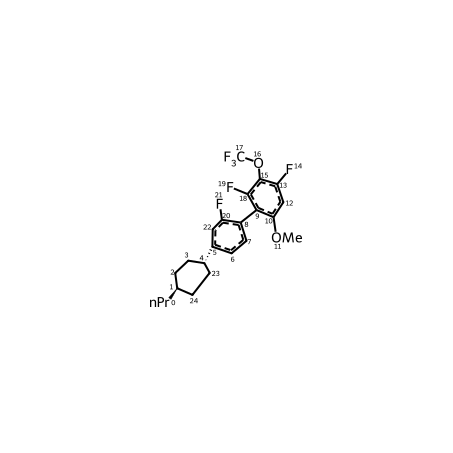 CCC[C@H]1CC[C@H](c2ccc(-c3c(OC)cc(F)c(OC(F)(F)F)c3F)c(F)c2)CC1